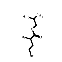 CC(C)COC(=O)C(Br)CCBr